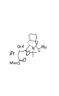 COC(=O)[C@H](C(C)C)[C@H](O)[C@@H]1OC(C)(C)N(C(=O)OC(C)(C)C)[C@H]1CC1CCCCC1